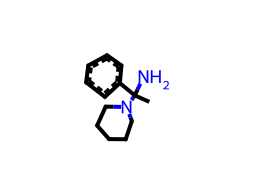 CC(N)(c1ccccc1)N1CCCCC1